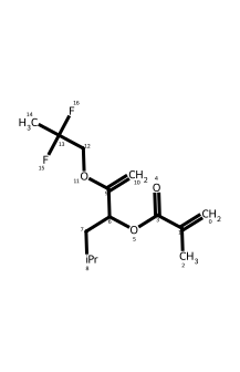 C=C(C)C(=O)OC(CC(C)C)C(=C)OCC(C)(F)F